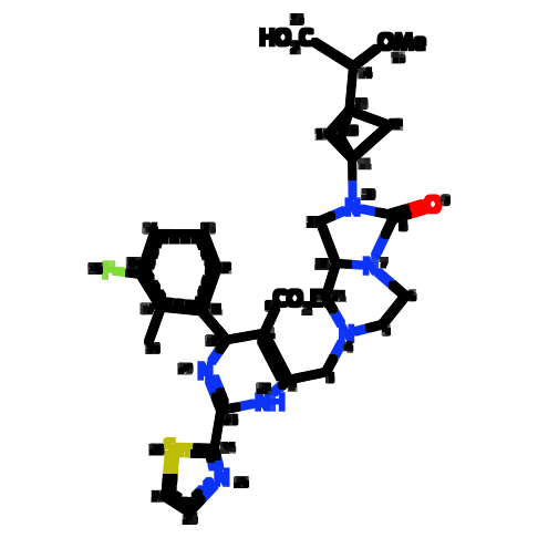 CCOC(=O)C1=C(CN2CCN3C(=O)N(C45CC(C(OC)C(=O)O)(C4)C5)CC3C2)NC(c2nccs2)=NC1c1cccc(F)c1C